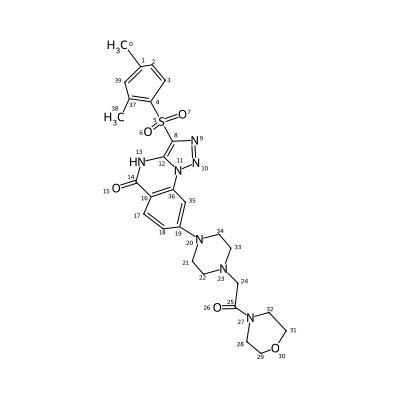 Cc1ccc(S(=O)(=O)c2nnn3c2[nH]c(=O)c2ccc(N4CCN(CC(=O)N5CCOCC5)CC4)cc23)c(C)c1